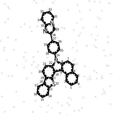 c1ccc2c(c1)ccc1c2c2c3sc4ccccc4c3ccc2n1-c1ccc(-c2cn3ccccc3n2)cc1